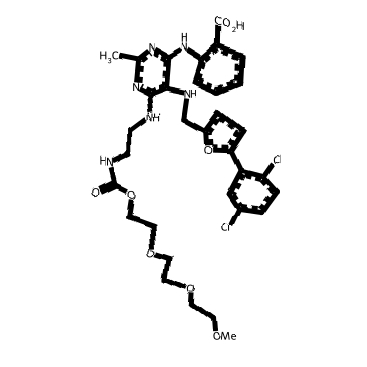 COCCOCCOCCOC(=O)NCCNc1nc(C)nc(Nc2ccccc2C(=O)O)c1NCc1ccc(-c2cc(Cl)ccc2Cl)o1